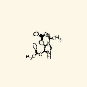 CC(=O)OC1NCN(C(C)=O)C1OC(C)=O